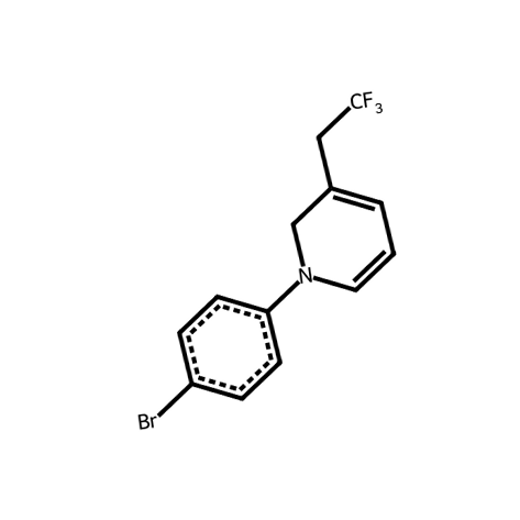 FC(F)(F)CC1=CC=CN(c2ccc(Br)cc2)C1